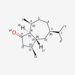 CC(C)[C@@H]1CC[C@H](C)[C@@H]2C(=O)C[C@H](C)[C@H]2C1